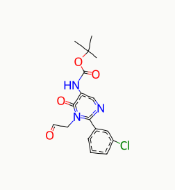 CC(C)(C)OC(=O)Nc1cnc(-c2cccc(Cl)c2)n(CC=O)c1=O